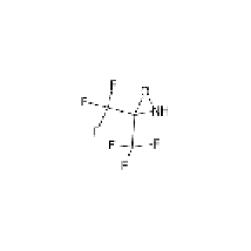 FC(F)(F)C1(C(F)(F)F)NO1